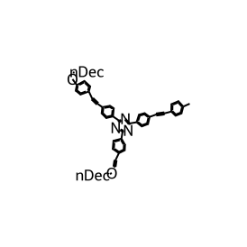 CCCCCCCCCCOC#Cc1ccc(-c2nc(-c3ccc(C#Cc4ccc(C)cc4)cc3)nc(-c3ccc(C#Cc4ccc(OCCCCCCCCCC)cc4)cc3)n2)cc1